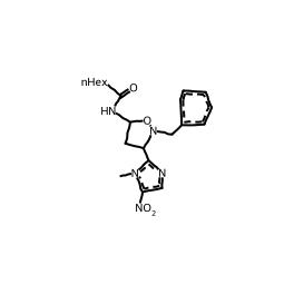 CCCCCCC(=O)NC1CC(c2ncc([N+](=O)[O-])n2C)N(Cc2ccccc2)O1